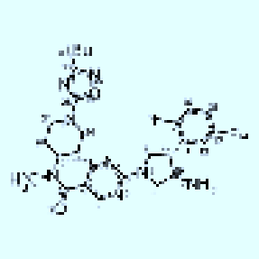 CN(C(=O)c1cnc(N2C[C@H](c3cc(F)ccc3F)[C@@H](N)C2)nc1)C1CCN(c2nc(C(C)(C)C)no2)CC1